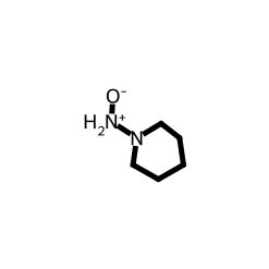 [O-][NH2+]N1CCCCC1